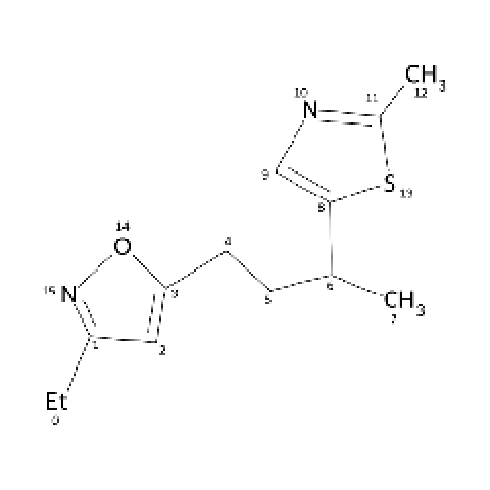 CCc1cc(CCC(C)c2cnc(C)s2)on1